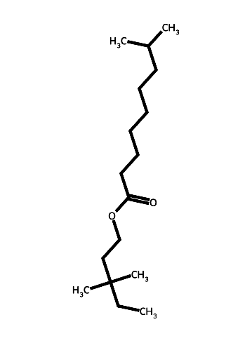 CCC(C)(C)CCOC(=O)CCCCCCC(C)C